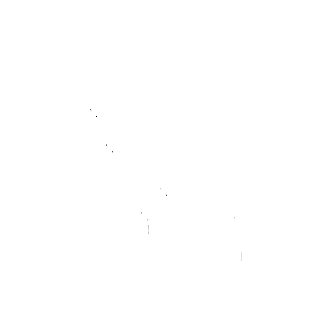 COCCN1CCN(c2ccc3[nH]c(-c4cc(O)c(O)c(OC)c4)nc3c2)CC1